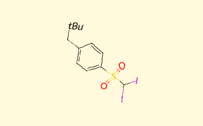 CC(C)(C)Cc1ccc(S(=O)(=O)C(I)I)cc1